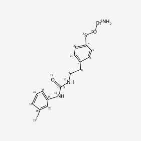 NOOSc1ccc(CCNC(=O)Nc2cccc(I)c2)cc1